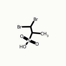 CC(C(Br)Br)S(=O)(=O)O